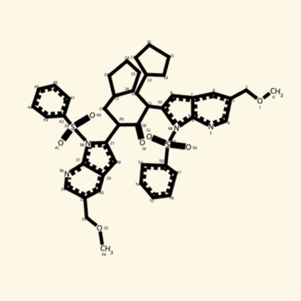 COCc1cnc2c(c1)cc(C(CC1CCCC1)C(=O)C(CC1CCCC1)c1cc3cc(COC)cnc3n1S(=O)(=O)c1ccccc1)n2S(=O)(=O)c1ccccc1